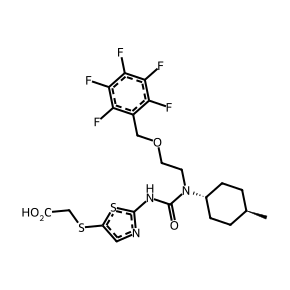 C[C@H]1CC[C@H](N(CCOCc2c(F)c(F)c(F)c(F)c2F)C(=O)Nc2ncc(SCC(=O)O)s2)CC1